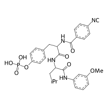 [C-]#[N+]c1ccc(C(=O)NC(Cc2ccc(OP(=O)(O)O)cc2)C(=O)NC(CC(C)C)C(=O)Nc2cccc(OC)c2)cc1